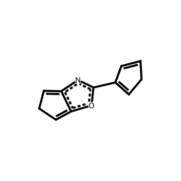 C1=CC(c2nc3c(o2)=CCC=3)=CC1